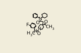 CC(=O)C1(CC(=O)N(c2ccccc2)C2CCCCC2)CCN(C(=O)N(C)c2cccc(F)c2)CC1